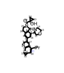 Cc1ncc(-c2cc3c(c([C@@H]4COCCN4)c2)CN(C(=O)C2(O)CC2)CC3)cc1/C(=C\C1CC1)C(C)C